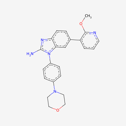 COc1ncccc1-c1ccc2nc(N)n(-c3ccc(N4CCOCC4)cc3)c2c1